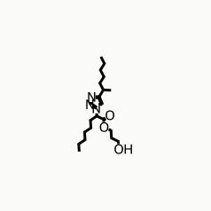 CCCCCCC(C(=O)OCCCO)n1cc(C(C)CCCCC)nn1